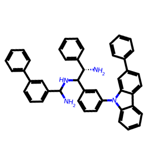 NC(NC(c1cccc(-n2c3ccccc3c3ccc(-c4ccccc4)cc32)c1)[C@@H](N)c1ccccc1)c1cccc(-c2ccccc2)c1